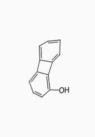 Oc1cccc2c1-c1ccccc1-2